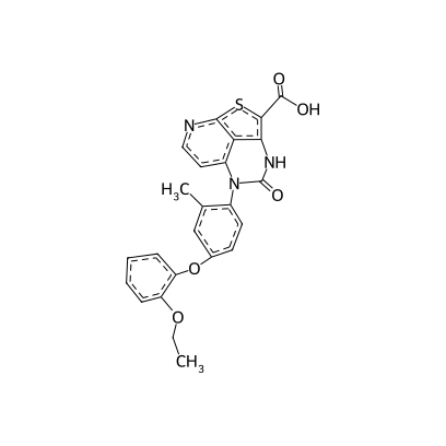 CCOc1ccccc1Oc1ccc(N2C(=O)Nc3c(C(=O)O)sc4nccc2c34)c(C)c1